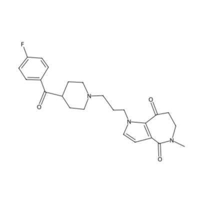 CN1CCC(=O)c2c(ccn2CCCN2CCC(C(=O)c3ccc(F)cc3)CC2)C1=O